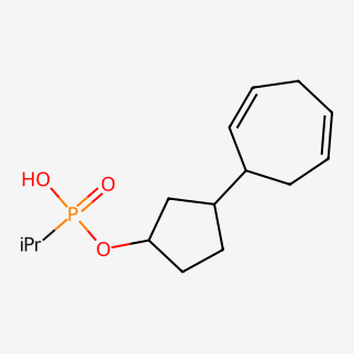 CC(C)P(=O)(O)OC1CCC(C2C=CCC=CC2)C1